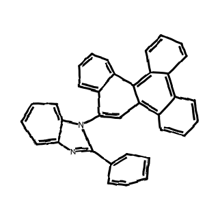 c1ccc(-c2nc3ccccc3n2-c2cc3c4ccccc4c4ccccc4c3c3ccccc23)cc1